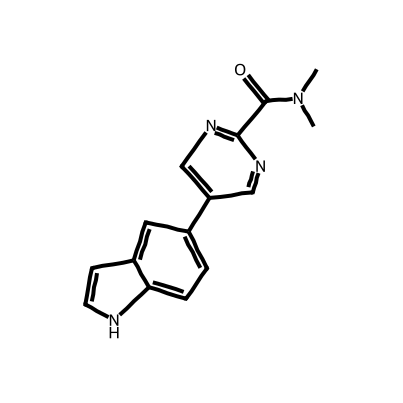 CN(C)C(=O)c1ncc(-c2ccc3[nH]ccc3c2)cn1